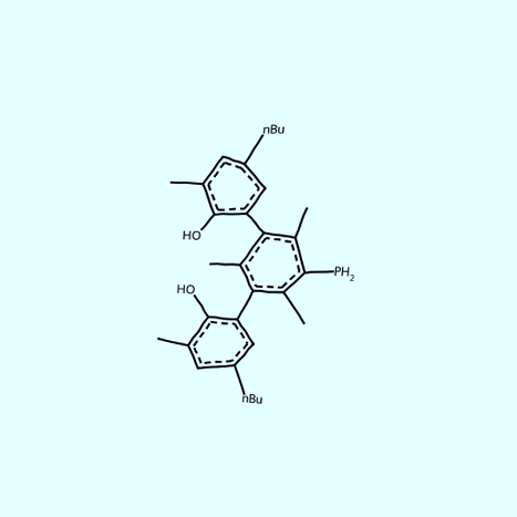 CCCCc1cc(C)c(O)c(-c2c(C)c(P)c(C)c(-c3cc(CCCC)cc(C)c3O)c2C)c1